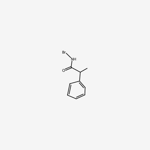 CC(C(=O)NBr)c1ccccc1